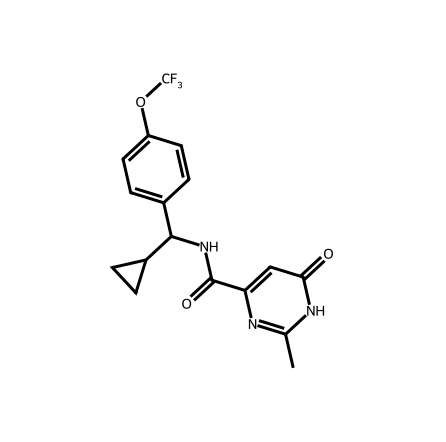 Cc1nc(C(=O)NC(c2ccc(OC(F)(F)F)cc2)C2CC2)cc(=O)[nH]1